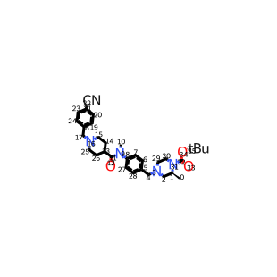 C[C@H]1CN(Cc2ccc(N(C)C(=O)C3CCN(Cc4ccc(C#N)cc4)CC3)cc2)CCN1C(=O)OC(C)(C)C